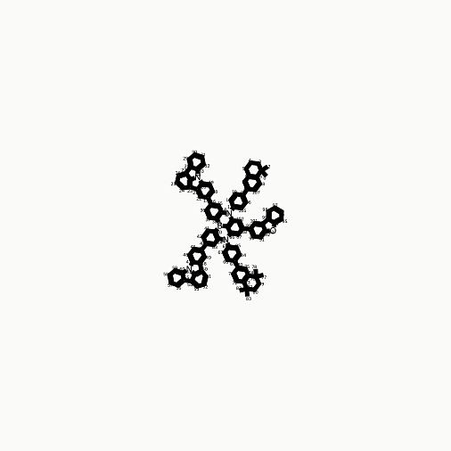 CC1(C)CCCc2cc(-c3ccc(N4c5cc(-c6ccc7c(c6)c6cccc8c9ccccc9n7c86)ccc5B5c6ccc(-c7ccc8c(c7)c7cccc9c%10ccccc%10n8c97)cc6N(c6ccc(-c7ccc8c(c7)C(C)(C)CCC8(C)C)cc6)c6cc(-c7ccc8oc9ccccc9c8c7)cc4c65)cc3)ccc21